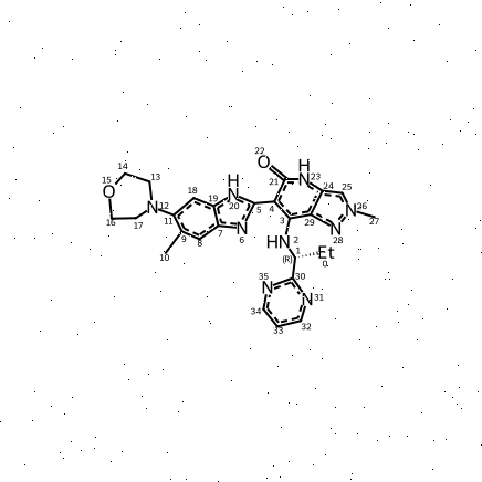 CC[C@@H](Nc1c(-c2nc3cc(C)c(N4CCOCC4)cc3[nH]2)c(=O)[nH]c2cn(C)nc12)c1ncccn1